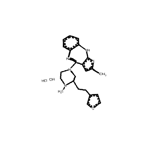 Cc1cc2c(s1)Nc1ccccc1N=C2N1CCN(C)C(CCc2ccoc2)C1.Cl.Cl